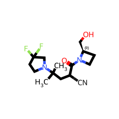 CC(C)(CC(C#N)C(=O)N1CC[C@@H]1CO)N1CCC(F)(F)C1